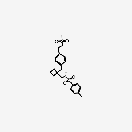 Cc1ccc(S(=O)(=O)NCC2(Cc3ccc(CCS(C)(=O)=O)cc3)CCC2)cc1